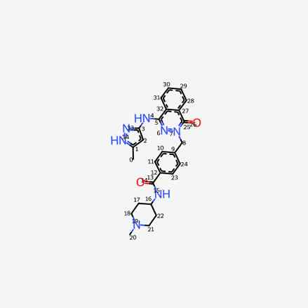 Cc1cc(Nc2nn(Cc3ccc(C(=O)NC4CCN(C)CC4)cc3)c(=O)c3ccccc23)n[nH]1